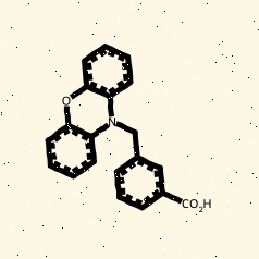 O=C(O)c1cccc(CN2c3ccccc3Oc3ccccc32)c1